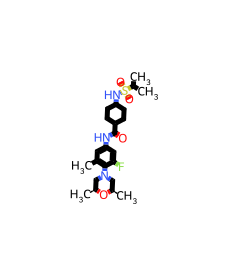 Cc1cc(NC(=O)C2CCC(NS(=O)(=O)C(C)C)CC2)cc(F)c1N1C[C@@H](C)O[C@@H](C)C1